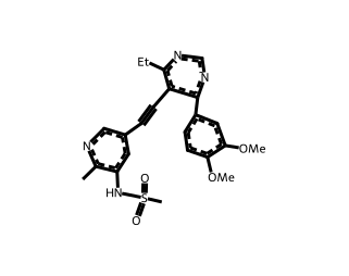 CCc1ncnc(-c2ccc(OC)c(OC)c2)c1C#Cc1cnc(C)c(NS(C)(=O)=O)c1